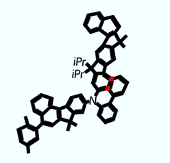 Cc1ccc(C)c(-c2cc3c(c4ccccc24)-c2ccc(N(c4ccc5c(c4)C(C(C)C)(C(C)C)c4cc6c(cc4-5)C(C)(C)c4ccc5ccccc5c4-6)c4ccccc4-c4ccccc4)cc2C3(C)C)c1